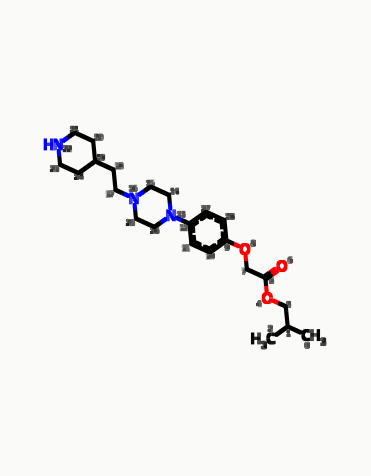 CC(C)COC(=O)COc1ccc(N2CCN(CCC3CCNCC3)CC2)cc1